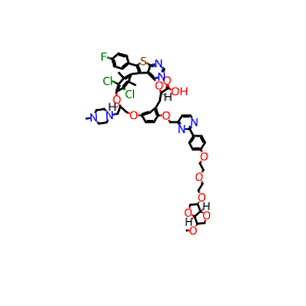 CO[C@@H]1CO[C@H]2[C@@H]1OC[C@H]2OCCOCCOc1ccc(-c2nccc(COc3ccc4cc3C[C@H](C(=O)O)Oc3ncnc5sc(-c6ccc(F)cc6)c(c35)-c3c(C)c(Cl)c(c(Cl)c3C)O[C@H](CN3CCN(C)CC3)CO4)n2)cc1